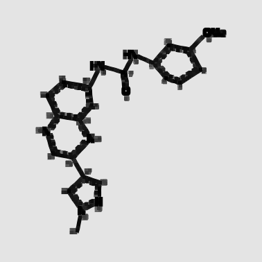 COc1cccc(NC(=O)Nc2ccc3ncc(-c4cnn(C)c4)nc3c2)c1